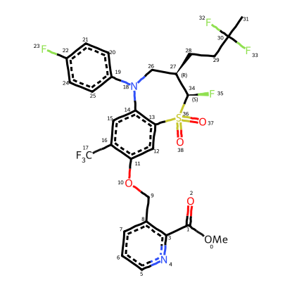 COC(=O)c1ncccc1COc1cc2c(cc1C(F)(F)F)N(c1ccc(F)cc1)C[C@@H](CCC(C)(F)F)[C@@H](F)S2(=O)=O